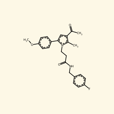 COc1ccc(-c2cc(C(C)=O)c(C)n2CCC(=O)NCc2ccc(F)cc2)cc1